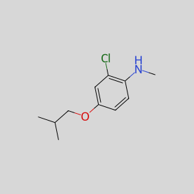 CNc1ccc(OCC(C)C)cc1Cl